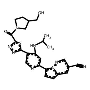 CC(C)Nc1cc(-c2ccc3cc(C#N)cnn23)ncc1-c1nnc(C(=O)N2CCC(CO)C2)s1